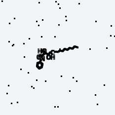 CCCCCCCCCCCC[C@@H](O)C(O)C1COC(c2ccccc2)=N1